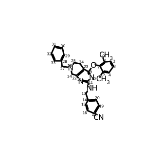 Cc1cccc(C)c1Oc1nc(NCc2ccc(C#N)cc2)nc2c1CCN(Cc1ccccc1)C2